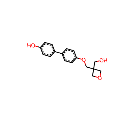 OCC1(COc2ccc(-c3ccc(O)cc3)cc2)COC1